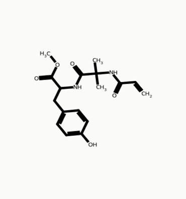 C=CC(=O)NC(C)(C)C(=O)NC(Cc1ccc(O)cc1)C(=O)OC